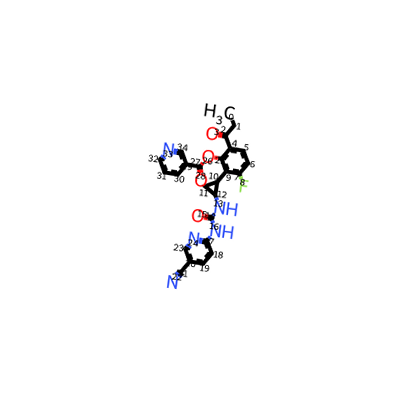 CCC(=O)c1ccc(F)c(C2CC2NC(=O)Nc2ccc(C#N)cn2)c1OC(=O)c1cccnc1